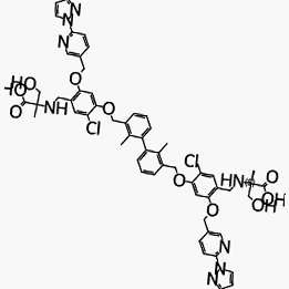 Cc1c(COc2cc(OCc3ccc(-n4cccn4)nc3)c(CNC(C)(CO)C(=O)O)cc2Cl)cccc1-c1cccc(COc2cc(OCc3ccc(-n4cccn4)nc3)c(CN[C@@](C)(CO)C(=O)O)cc2Cl)c1C